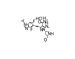 CNc1c(C(N)=O)c(C#Cc2c(F)cc3c(ncn3C3CC3)c2F)nn1[C@@H]1CN[C@@H](COC)C1.Cl